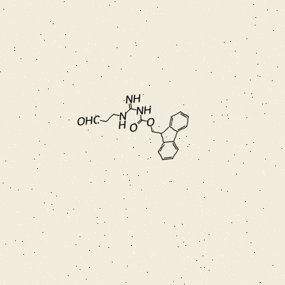 N=C(NCCC=O)NC(=O)OCC1c2ccccc2-c2ccccc21